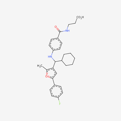 Cc1oc(-c2ccc(F)cc2)cc1C(Nc1ccc(C(=O)NCCC(=O)O)cc1)C1CCCCC1